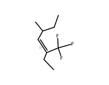 CC/C(=C/C(C)CC)C(F)(F)F